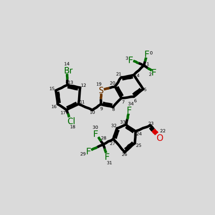 FC(F)(F)c1ccc2cc(Cc3cc(Br)ccc3Cl)sc2c1.O=Cc1ccc(C(F)(F)F)cc1F